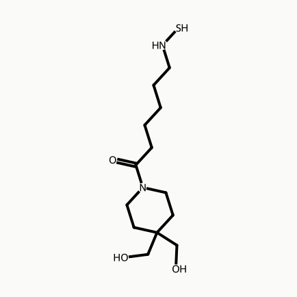 O=C(CCCCCNS)N1CCC(CO)(CO)CC1